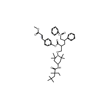 CCC(C)(CC(C)(C)C)C(=O)NC1CC(C)(C)N(OCC(CC([CH2][Co](=[O])[c]2ccccc2)c2ccccc2)C(=O)Oc2ccc(/C=C/C(=O)OC)cc2)C(C)(C)C1